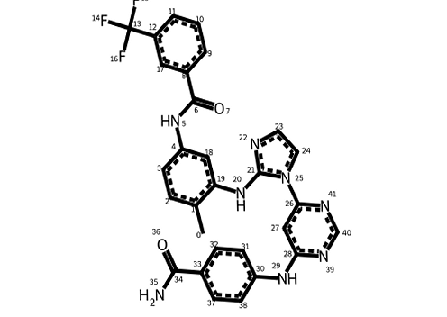 Cc1ccc(NC(=O)c2cccc(C(F)(F)F)c2)cc1Nc1nccn1-c1cc(Nc2ccc(C(N)=O)cc2)ncn1